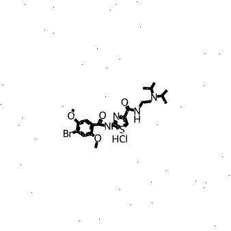 COc1cc(C(=O)Nc2nc(C(=O)NCCN(C(C)C)C(C)C)cs2)c(OC)cc1Br.Cl